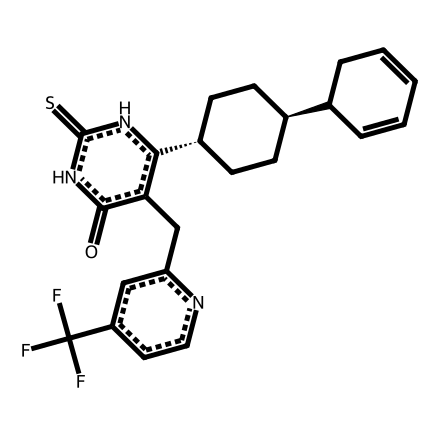 O=c1[nH]c(=S)[nH]c([C@H]2CC[C@H](C3C=CC=CC3)CC2)c1Cc1cc(C(F)(F)F)ccn1